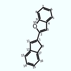 [CH]1C(c2cc3ccccc3o2)=Cc2ccccc21